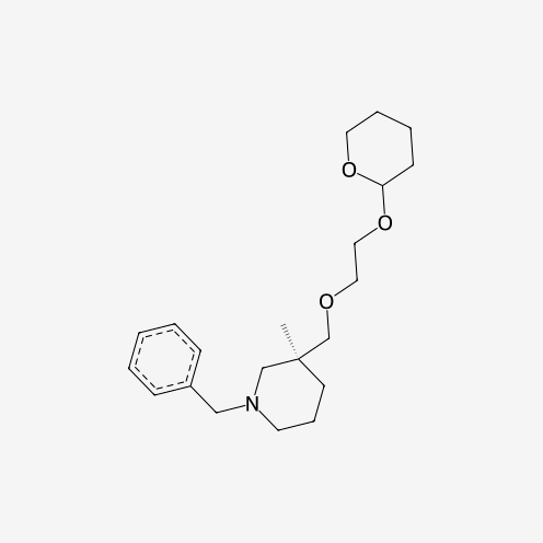 C[C@]1(COCCOC2CCCCO2)CCCN(Cc2ccccc2)C1